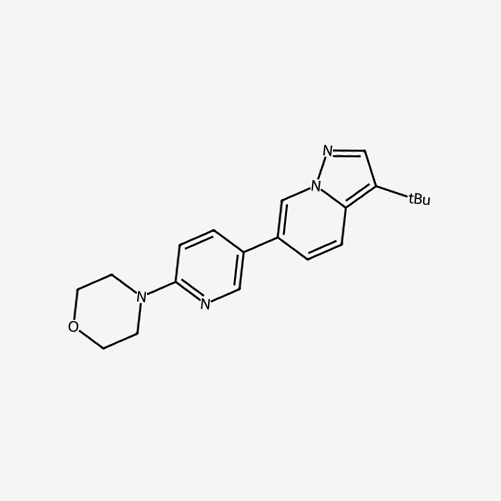 CC(C)(C)c1cnn2cc(-c3ccc(N4CCOCC4)nc3)ccc12